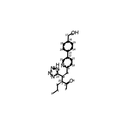 CCC[C@H](C(C)=O)[C@H](Cc1ccc(-c2ccc(CO)cc2)cn1)c1nnn[nH]1